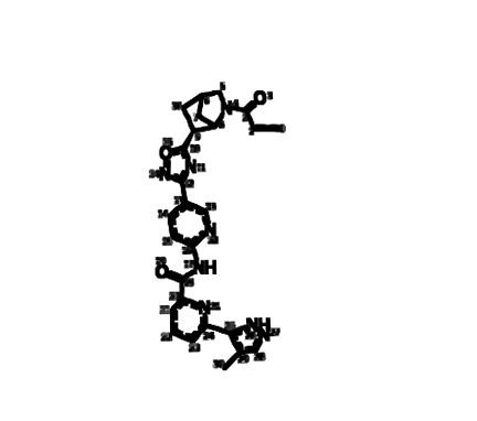 C=CC(=O)N1CC2CC1[C@@H](c1nc(-c3ccc(NC(=O)c4cccc(-c5[nH]ncc5C)n4)nc3)no1)C2